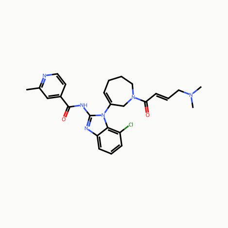 Cc1cc(C(=O)Nc2nc3cccc(Cl)c3n2C2=CCCCN(C(=O)/C=C/CN(C)C)C2)ccn1